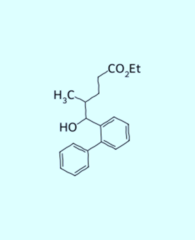 CCOC(=O)CCC(C)C(O)c1ccccc1-c1ccccc1